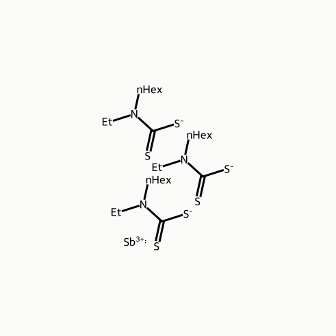 CCCCCCN(CC)C(=S)[S-].CCCCCCN(CC)C(=S)[S-].CCCCCCN(CC)C(=S)[S-].[Sb+3]